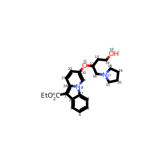 CCOC(=O)c1c2ccccc2n2cc(OC(CCO)CN3CCCC3)ccc12